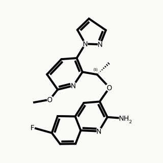 COc1ccc(-n2cccn2)c([C@H](C)Oc2cc3cc(F)ccc3nc2N)n1